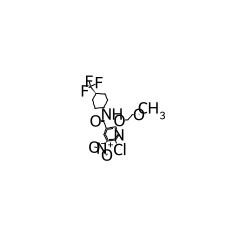 COCCOc1nc(Cl)c([N+](=O)[O-])cc1C(=O)N[C@H]1CC[C@H](C(F)(F)F)CC1